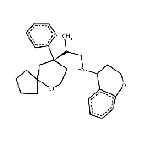 CC(CNC1CCOc2ccccc21)[C@@]1(c2ccccn2)CCOC2(CCCC2)C1